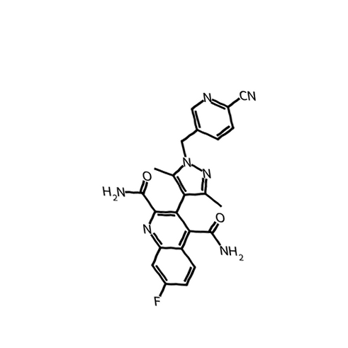 Cc1nn(Cc2ccc(C#N)nc2)c(C)c1-c1c(C(N)=O)nc2cc(F)ccc2c1C(N)=O